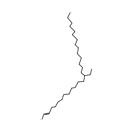 [CH2]C=CCCCCCCCCCCC(CC)CCCCCCCCCCCCC[CH2]